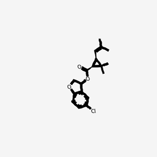 CC(C)=C[C@@H]1[C@H](C(=O)OC2COc3ccc(Cl)cc32)C1(C)C